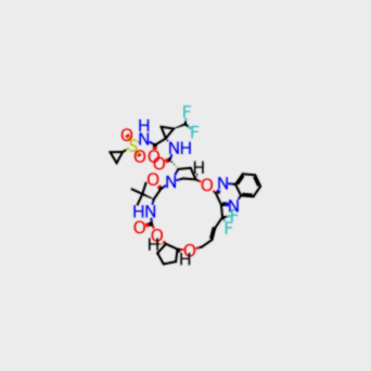 CC(C)(C)[C@@H]1NC(=O)O[C@@H]2CCC[C@H]2OC/C=C/C(F)(F)c2nc3ccccc3nc2O[C@@H]2C[C@@H](C(=O)N[C@]3(C(=O)NS(=O)(=O)C4CC4)C[C@H]3C(F)F)N(C2)C1=O